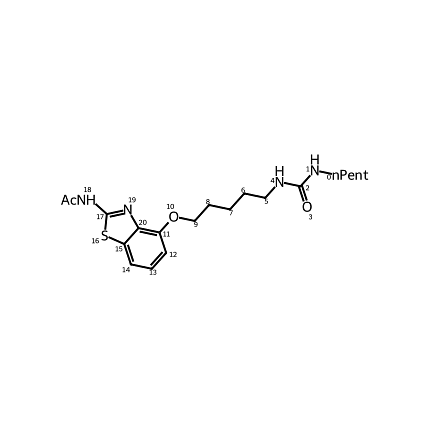 CCCCCNC(=O)NCCCCCOc1cccc2sc(NC(C)=O)nc12